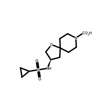 O=C(O)N1CCC2(CC1)C[C@@H](NS(=O)(=O)C1CC1)CO2